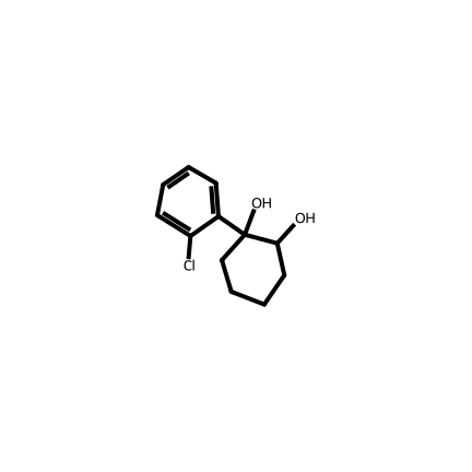 OC1CCCCC1(O)c1ccccc1Cl